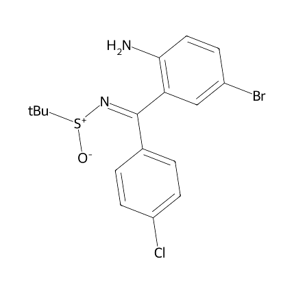 CC(C)(C)[S+]([O-])/N=C(\c1ccc(Cl)cc1)c1cc(Br)ccc1N